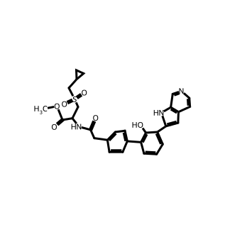 COC(=O)C(CS(=O)(=O)CC1CC1)NC(=O)Cc1ccc(-c2cccc(-c3cc4ccncc4[nH]3)c2O)cc1